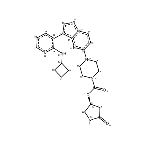 O=C1C[C@H](OC(=O)N2CCN(c3ccn4ncc(-c5cccnc5NC5CCC5)c4n3)CC2)CN1